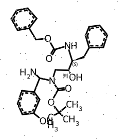 CC(C)(C)OC(=O)N(C[C@@H](O)[C@H](Cc1ccccc1)NC(=O)OCc1ccccc1)C(N)c1cccc(O)c1